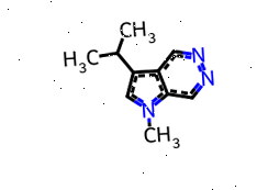 CC(C)c1cn(C)c2cnncc12